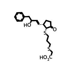 O=C(O)CSCCCS[C@H]1C(=O)CC[C@H]1C=CC(O)Cc1ccccc1